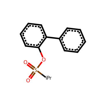 CC(C)S(=O)(=O)Oc1ccccc1-c1ccccc1